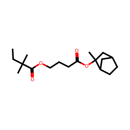 CCC(C)(C)C(=O)OCCCC(=O)OC1(C)CC2CCC1C2